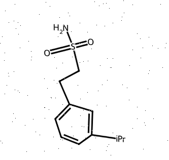 CC(C)c1cccc(CCS(N)(=O)=O)c1